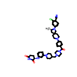 C[C@H]1CC2(CCN(c3ccc(C(=O)N4CCN(CC5CCN(c6cccc(N[C@@H]7CCC(=O)NC7=O)c6)CC5)CC4)cc3)CC2)CN1c1ccc(C#N)c(Cl)c1